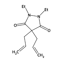 C=CCC1(CC=C)C(=O)N(CC)N(CC)C1=O